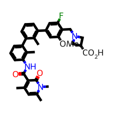 COc1cc(-c2cccc(-c3cccc(NC(=O)c4c(C)cc(C)n(C)c4=O)c3C)c2C)cc(F)c1CN1CC(C(=O)O)C1